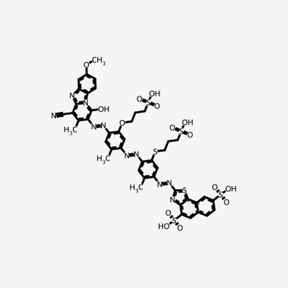 COc1ccc2c(c1)nc1c(C#N)c(C)c(N=Nc3cc(C)c(N=Nc4cc(C)c(N=Nc5nc6c(S(=O)(=O)O)cc7ccc(S(=O)(=O)O)cc7c6s5)cc4SCCCS(=O)(=O)O)cc3OCCCS(=O)(=O)O)c(O)n12